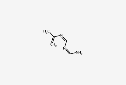 C=C(C)/N=C\N=C/N